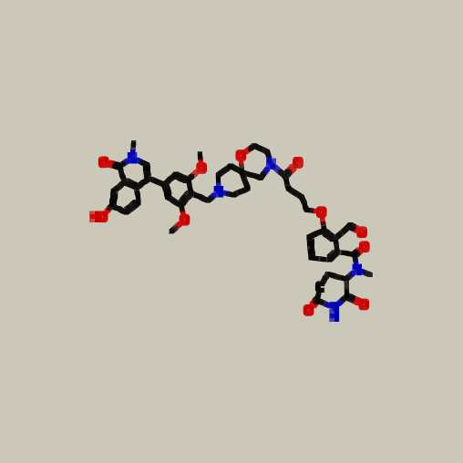 COc1cc(-c2cn(C)c(=O)c3cc(O)ccc23)cc(OC)c1CN1CCC2(CC1)CN(C(=O)CCCOc1cccc(C(=O)N(C)C3CCC(=O)NC3=O)c1C=O)CCO2